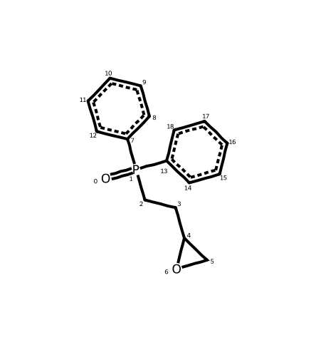 O=P(CCC1CO1)(c1ccccc1)c1ccccc1